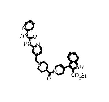 CCOC(=O)c1[nH]c2ccccc2c1C1=CCN(C(=O)C2CCN(Cc3ccnc(NC(=O)Nc4ccccn4)c3)CC2)CC1